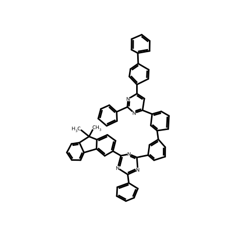 CC1(C)c2ccccc2-c2cc(-c3nc(-c4ccccc4)nc(-c4cccc(-c5cccc(-c6cc(-c7ccc(-c8ccccc8)cc7)nc(-c7ccccc7)n6)c5)c4)n3)ccc21